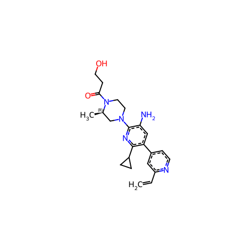 C=Cc1cc(-c2cc(N)c(N3CCN(C(=O)CCO)[C@H](C)C3)nc2C2CC2)ccn1